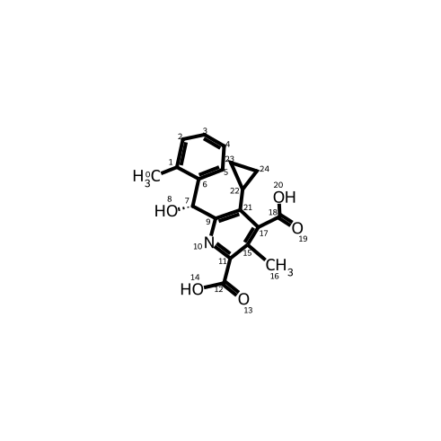 Cc1ccccc1[C@@H](O)c1nc(C(=O)O)c(C)c(C(=O)O)c1C1CC1